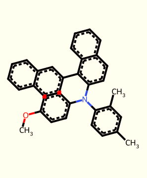 COc1ccc(N(c2ccc(C)cc2C)c2ccc3ccccc3c2-c2ccc3ccccc3c2)cc1